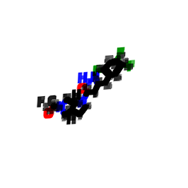 NC(CC(=O)N1CC[C@H]2CN(C(=O)C(F)(F)F)C[C@H]21)Cc1cc(F)c(F)cc1F